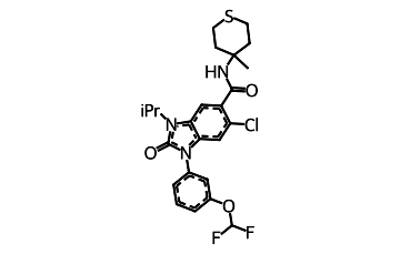 CC(C)n1c(=O)n(-c2cccc(OC(F)F)c2)c2cc(Cl)c(C(=O)NC3(C)CCSCC3)cc21